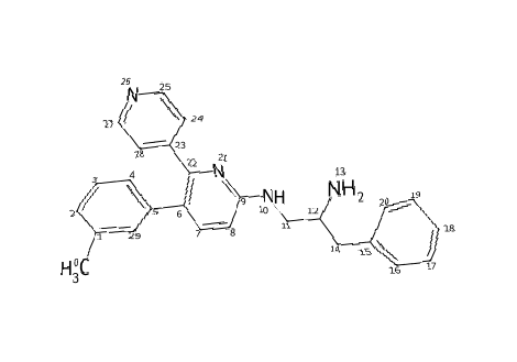 Cc1cccc(-c2ccc(NCC(N)Cc3ccccc3)nc2-c2ccncc2)c1